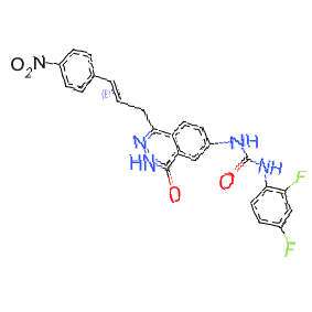 O=C(Nc1ccc2c(C/C=C/c3ccc([N+](=O)[O-])cc3)n[nH]c(=O)c2c1)Nc1ccc(F)cc1F